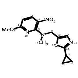 COc1ccc([N+](=O)[O-])c(N(C)Cc2cnc(C3CC3)s2)n1